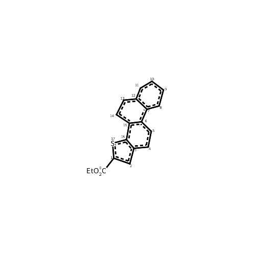 CCOC(=O)c1cc2ccc3c4ccccc4ccc3c2s1